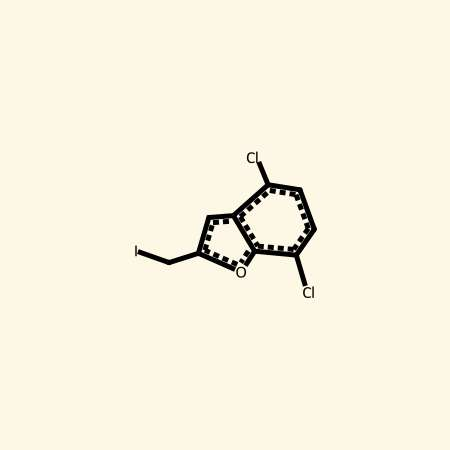 Clc1ccc(Cl)c2oc(CI)cc12